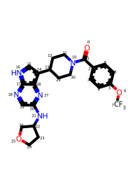 O=C(c1ccc(OC(F)(F)F)cc1)N1CCC(c2c[nH]c3ncc(NC4CCOC4)nc23)CC1